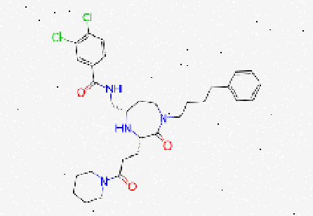 O=C(NC[C@@H]1CCN(CCCCc2ccccc2)C(=O)[C@H](CCC(=O)N2CCCCC2)N1)c1ccc(Cl)c(Cl)c1